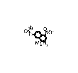 O=[N+]([O-])c1cccc2cc(O[SH](=O)=O)ccc12.[MgH2]